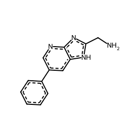 NCc1nc2ncc(-c3ccccc3)cc2[nH]1